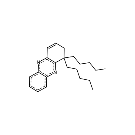 CCCCCC1(CCCCC)CC=Cc2nc3ccccc3nc21